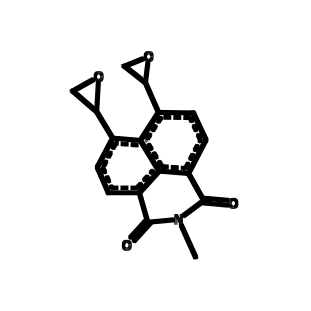 CN1C(=O)c2ccc(C3CO3)c3c(C4CO4)ccc(c23)C1=O